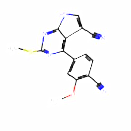 COc1cc(-c2nc(SC)nc3[nH]cc(C#N)c23)ccc1C#N